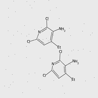 CCc1cc(Cl)nc(Cl)c1N.CCc1cc(Cl)nc(Cl)c1N